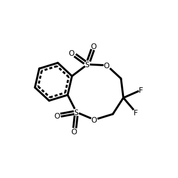 O=S1(=O)OCC(F)(F)COS(=O)(=O)c2ccccc21